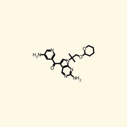 CC(C)(COC1CCCCO1)n1cc(C(=O)c2cncc(N)c2)c2cnc(N)nc21